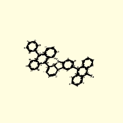 Fc1c2ccccc2c(-c2ccc3c(c2)C2C=CC=C(c4c5ccccc5c(-c5ccccc5)c5ccccc45)C2S3)c2ccccc12